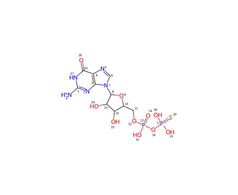 Nc1nc2c(ncn2C2OC(COP(=O)(O)OP(O)(O)=S)C(O)C2O)c(=O)[nH]1